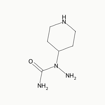 NC(=O)N(N)C1CCNCC1